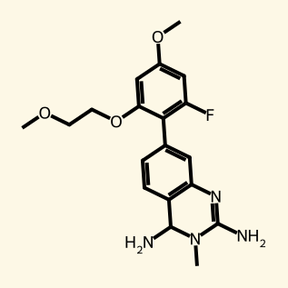 COCCOc1cc(OC)cc(F)c1-c1ccc2c(c1)N=C(N)N(C)C2N